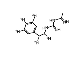 [2H]c1cc(C([2H])C([2H])NC(=N)NC(C)=N)cc([2H])c1[2H]